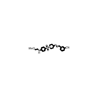 COCCNc1ccc(S(=O)(=O)N2CCC(=NOCc3cccc(C#N)c3)CC2)cc1